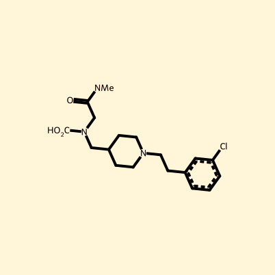 CNC(=O)CN(CC1CCN(CCc2cccc(Cl)c2)CC1)C(=O)O